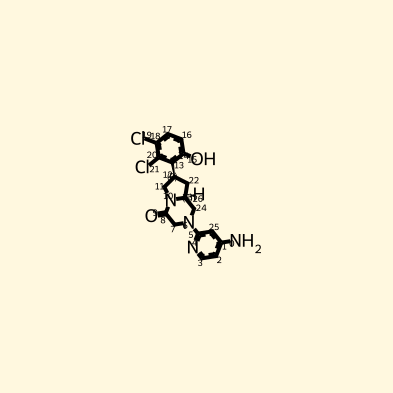 Nc1ccnc(N2CC(=O)N3C[C@@H](c4c(O)ccc(Cl)c4Cl)C[C@H]3C2)c1